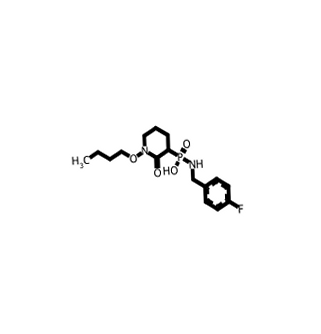 CCCCON1CCCC(P(=O)(O)NCc2ccc(F)cc2)C1=O